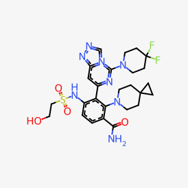 NC(=O)c1ccc(NS(=O)(=O)CCO)c(-c2cc3nncn3c(N3CCC(F)(F)CC3)n2)c1N1CCC2(CC1)CC2